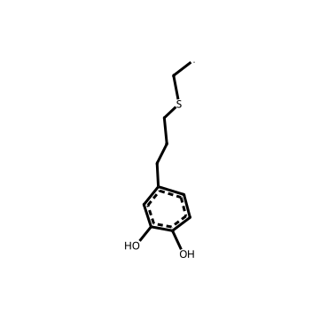 [CH2]CSCCCc1ccc(O)c(O)c1